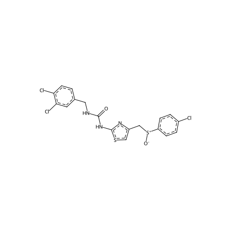 O=C(NCc1ccc(Cl)c(Cl)c1)Nc1nc(C[S+]([O-])c2ccc(Cl)cc2)cs1